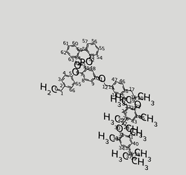 C=Cc1ccc(Oc2ccc(OCc3ccc(CC(C)(C)Oc4c(C)cc(C(C)(C)Oc5c(C)cc(C(C)(C)C)cc5C)cc4C)cc3)cc2P2(=O)Oc3ccccc3-c3ccccc32)cc1